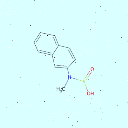 CN(c1ccc2ccccc2c1)S(=O)O